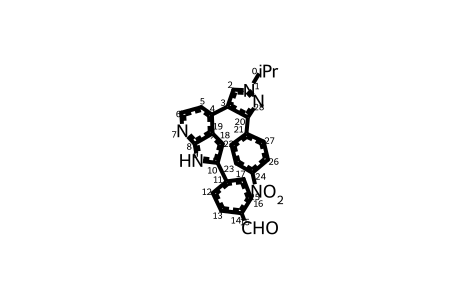 CC(C)n1cc(-c2ccnc3[nH]c(-c4ccc(C=O)cc4)cc23)c(-c2ccc([N+](=O)[O-])cc2)n1